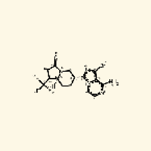 Nc1nccn2c([C@@H]3CC[C@H]4C(C(F)(F)F)CC(=O)N4C3)nc(Br)c12